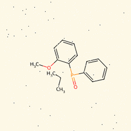 COc1ccccc1[P@@](=O)(c1ccccc1)C(C)C